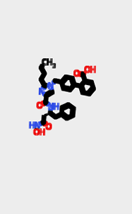 CCCCc1nc(C(=O)N[C@@H](CC(=O)NO)Cc2ccccc2)cn1Cc1ccc(-c2ccccc2C(=O)O)cc1